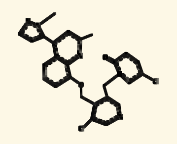 Cc1cc(-c2ccnn2C)c2cccc(OCc3c(Cl)cncc3Cn3cc(Cl)ccc3=O)c2n1